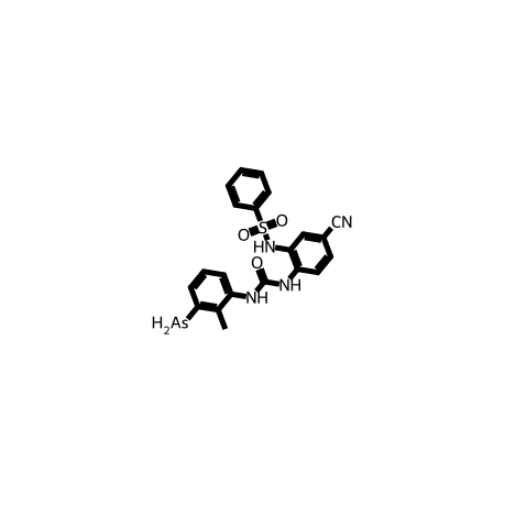 Cc1c([AsH2])cccc1NC(=O)Nc1ccc(C#N)cc1NS(=O)(=O)c1ccccc1